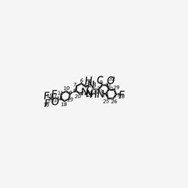 Cc1c(-c2nc3ccc(-c4ccc(OC(F)(F)F)cc4)cn3n2)[nH]c2ccc(F)cc2c1=O